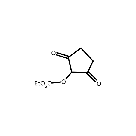 C[CH]OC(=O)OC1C(=O)CCC1=O